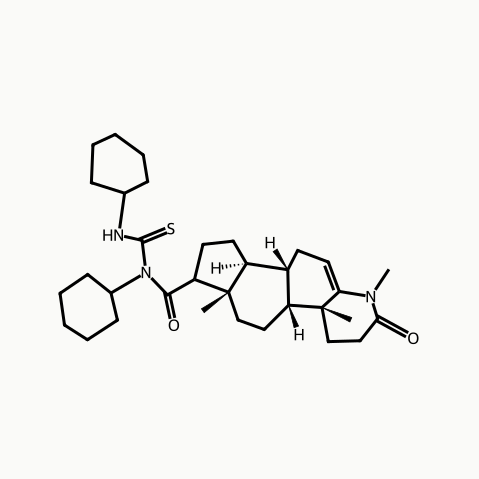 CN1C(=O)CC[C@@]2(C)C1=CC[C@@H]1[C@H]2CC[C@]2(C)C(C(=O)N(C(=S)NC3CCCCC3)C3CCCCC3)CC[C@@H]12